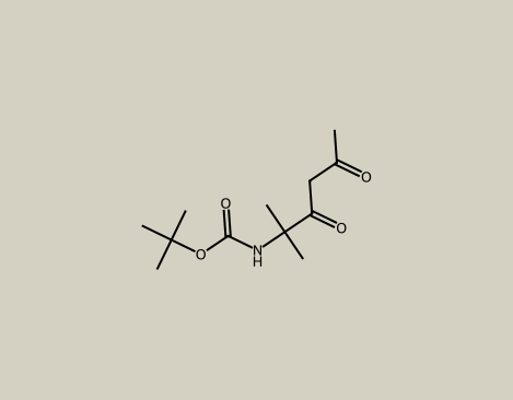 CC(=O)CC(=O)C(C)(C)NC(=O)OC(C)(C)C